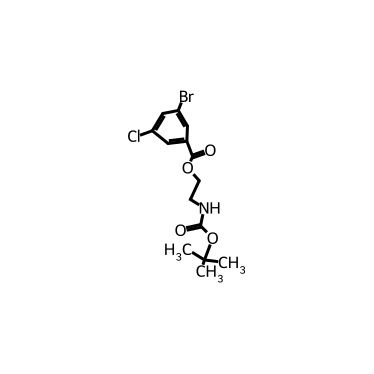 CC(C)(C)OC(=O)NCCOC(=O)c1cc(Cl)cc(Br)c1